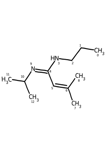 CCCN/C(C=C(C)C)=N/C(C)C